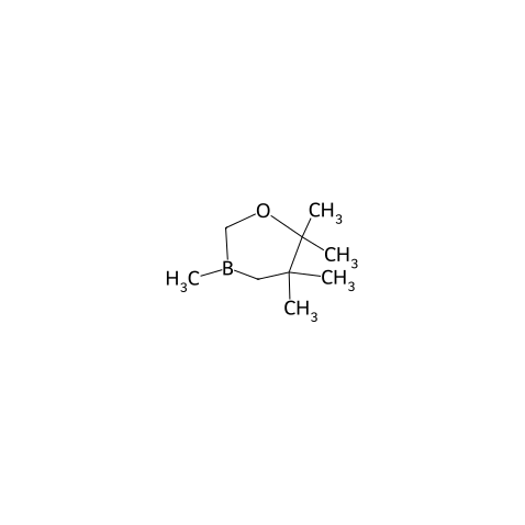 CB1COC(C)(C)C(C)(C)C1